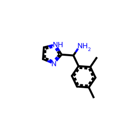 Cc1ccc(C(N)c2ncc[nH]2)c(C)c1